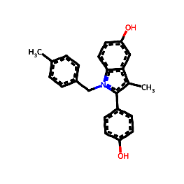 Cc1ccc(Cn2c(-c3ccc(O)cc3)c(C)c3cc(O)ccc32)cc1